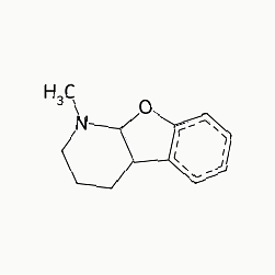 CN1CCCC2c3ccccc3OC21